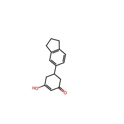 O=C1C=C(O)CC(c2ccc3c(c2)CCC3)C1